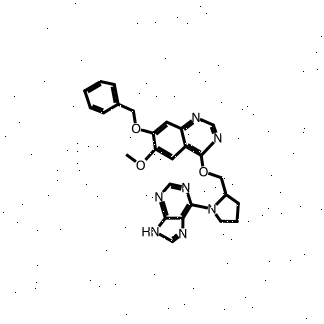 COc1cc2c(OCC3CCCN3c3ncnc4[nH]cnc34)ncnc2cc1OCc1ccccc1